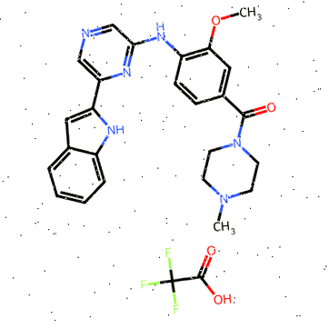 COc1cc(C(=O)N2CCN(C)CC2)ccc1Nc1cncc(-c2cc3ccccc3[nH]2)n1.O=C(O)C(F)(F)F